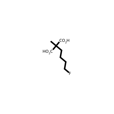 CC(CCCCF)(C(=O)O)C(=O)O